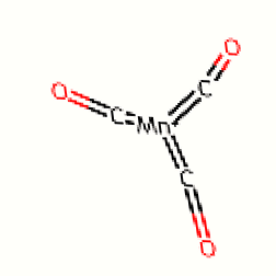 O=[C]=[Mn+](=[C]=O)=[C]=O